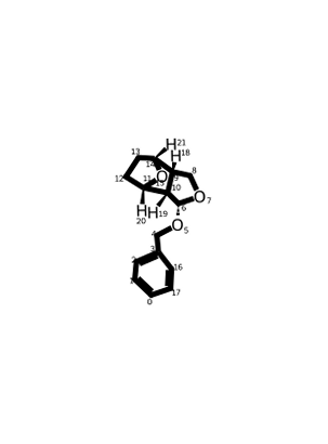 c1ccc(CO[C@H]2OC[C@@H]3[C@H]2[C@@H]2CC[C@H]3O2)cc1